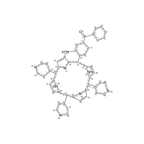 Nc1cc(C(=O)c2ccccc2)ccc1-c1c2nc(c(-c3ccncc3)c3ccc([nH]3)c(-c3ccncc3)c3nc(c(-c4ccncc4)c4ccc1[nH]4)C=C3)C=C2